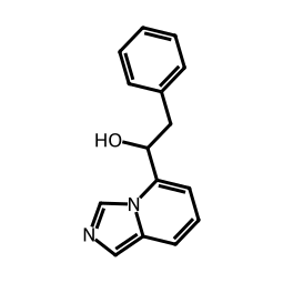 OC(Cc1ccccc1)c1cccc2cncn12